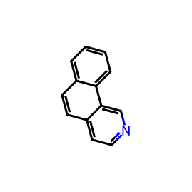 c1ccc2c(c1)ccc1ccncc12